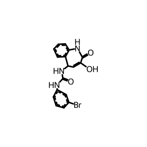 O=C(Nc1cccc(Br)c1)NC1C=C(O)C(=O)Nc2ccccc21